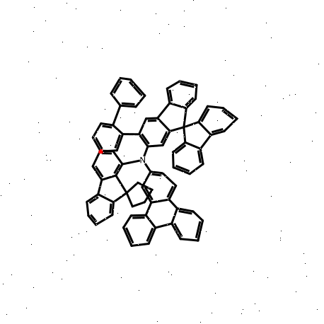 c1ccc(-c2ccccc2-c2cc3c(cc2N(c2ccc4c5ccccc5c5ccccc5c4c2)c2cccc4c2C2(CCCC2)c2ccccc2-4)C2(c4ccccc4-c4ccccc42)c2ccccc2-3)cc1